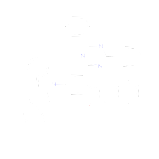 c1ccc(-c2nc(-c3ccccc3)nc(-c3cc(-n4c5ccccc5c5cc6ccccc6cc54)cc4oc5cc6ccccc6cc5c34)n2)cc1